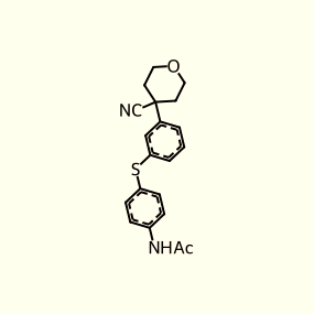 CC(=O)Nc1ccc(Sc2cccc(C3(C#N)CCOCC3)c2)cc1